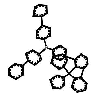 c1ccc(-c2ccc(N(c3ccc(-c4ccccc4)cc3)c3ccc(-c4cccc5c4C(c4ccccc4)(c4ccccc4)c4ccccc4-5)cc3)cc2)cc1